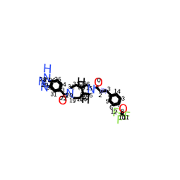 O=C(/C=C/c1ccc(OC(F)(F)F)cc1)N1C[C@H]2CCN(C(=O)c3ccc4[nH]nnc4c3)CC[C@H]2C1